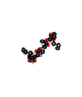 c1ccc2c(c1)Sc1ccccc1C21c2cc(-c3cccc4c3Sc3ccccc3C43c4ccccc4-c4c(N(c5ccc(-c6cccc7ccccc67)cc5)c5ccc6c(c5)C5(c7ccccc7Sc7ccccc75)c5ccccc5-6)cccc43)ccc2-c2ccc(N(c3ccc(-c4ccc5ccccc5c4)cc3)c3cccc4c3-c3ccccc3C43c4ccccc4Sc4ccccc43)cc21